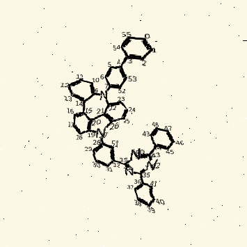 c1ccc(-c2ccc(-n3c4ccccc4c4cccc5c4c4c3cccc4n5-c3cccc(-c4nc(-c5ccccc5)nc(-c5ccccc5)n4)c3)cc2)cc1